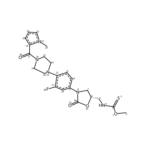 COC(=S)NC[C@H]1CN(c2ccc(N3CCN(C(=O)c4cccn4C)CC3)c(F)c2)C(=O)O1